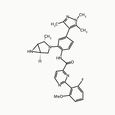 COc1cccc(F)c1-c1nccc(C(=O)Nc2ccc(-c3c(C)nn(C)c3C)cc2N2C[C@H]3NC3[C@@H]2C)n1